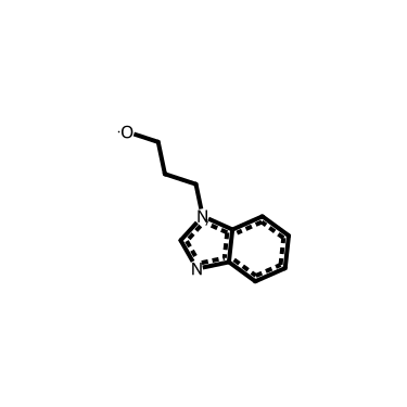 [O]CCCn1cnc2ccccc21